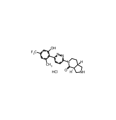 Cc1cc(C(F)(F)F)cc(O)c1-c1ccc(N2CC[C@@H]3CNC[C@H]3C2=O)nn1.Cl